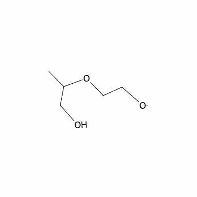 CC(CO)OCC[O]